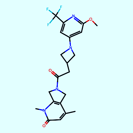 COc1cc(N2CC(CC(=O)N3Cc4c(C)cc(=O)n(C)c4C3)C2)cc(C(F)(F)F)n1